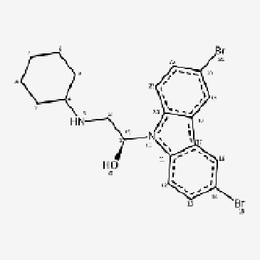 O[C@@H](CNC1CCCCC1)n1c2ccc(Br)cc2c2cc(Br)ccc21